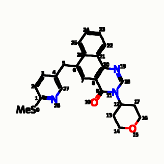 CSc1ccc(Cc2cc3c(=O)n(C4CCOCC4)cnc3c3ccccc23)cn1